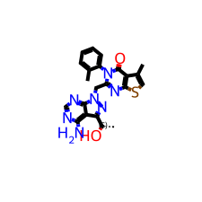 Cc1ccccc1-n1c(Cn2nc([C@H](C)O)c3c(N)ncnc32)nc2scc(C)c2c1=O